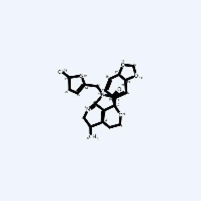 CC1CN=C2C3=C1CCOC3(C1=CC3OCOC3C=C1)C(=O)N2CC1=CCC(Cl)S1